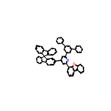 c1ccc(-c2cc(-c3ccccc3)cc(-c3cc(-c4ccc5c(c4)C4(c6ccccc6-c6ccccc64)c4ccccc4-5)cc(-c4cccc5c4oc4ccccc45)n3)c2)cc1